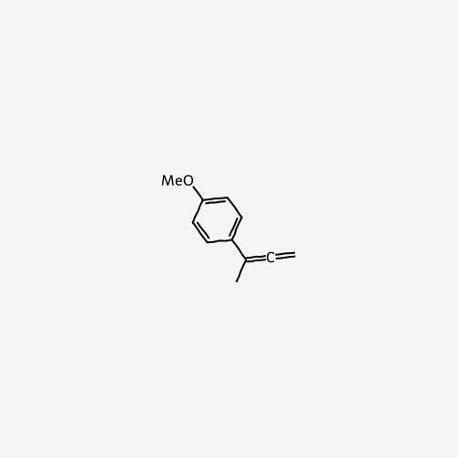 C=C=C(C)c1ccc(OC)cc1